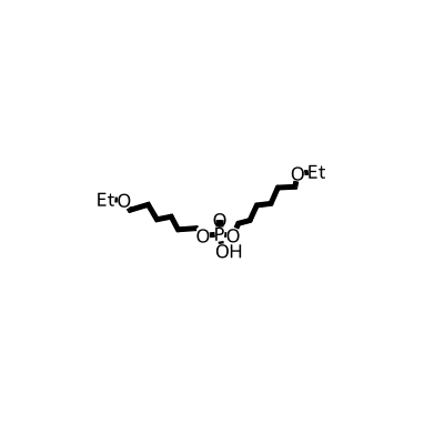 CCOCCCCCCOP(=O)(O)OCCCCCCOCC